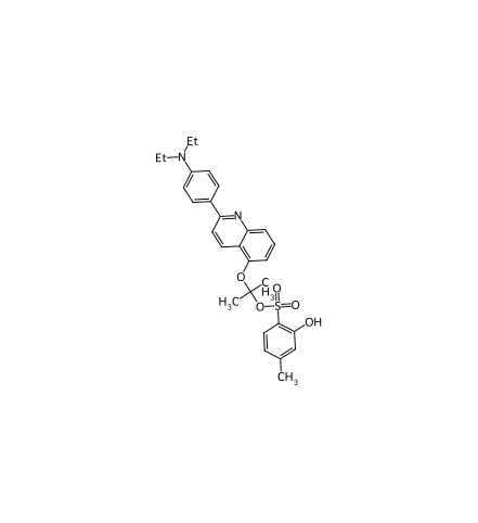 CCN(CC)c1ccc(-c2ccc3c(OC(C)(C)OS(=O)(=O)c4ccc(C)cc4O)cccc3n2)cc1